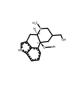 CCCO[C@]12CC(CO)CN(C)[C@@H]1Cc1c[nH]c3cccc2c13